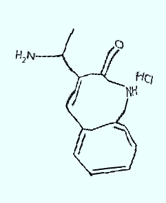 CC(N)c1cc2ccccc2[nH]c1=O.Cl